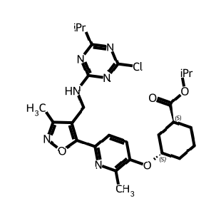 Cc1nc(-c2onc(C)c2CNc2nc(Cl)nc(C(C)C)n2)ccc1O[C@H]1CCC[C@H](C(=O)OC(C)C)C1